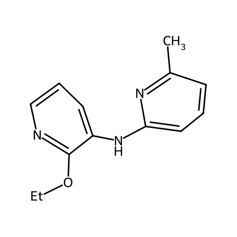 CCOc1ncccc1Nc1cccc(C)n1